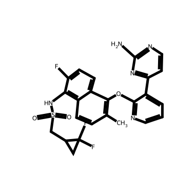 Cc1ccc2c(NS(=O)(=O)CC3CC3(F)F)c(F)ccc2c1Oc1ncccc1-c1ccnc(N)n1